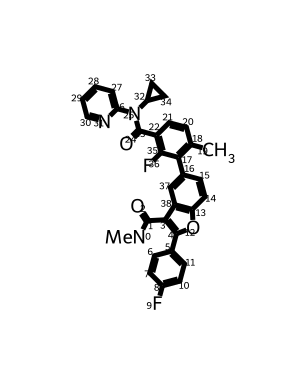 CNC(=O)c1c(-c2ccc(F)cc2)oc2ccc(-c3c(C)ccc(C(=O)N(c4ccccn4)C4CC4)c3F)cc12